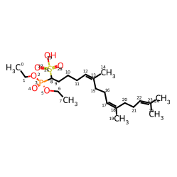 CCOP(=O)(OCC)C(CCCC=C(C)CCC=C(C)CCC=C(C)C)S(=O)(=O)O